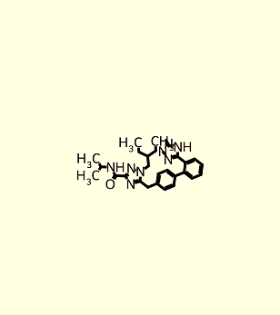 CCC(CC)Cn1nc(C(=O)NC(C)C)nc1Cc1ccc(-c2ccccc2-c2nnn[nH]2)cc1